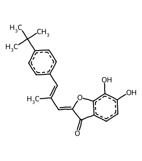 CC(=Cc1ccc(C(C)(C)C)cc1)C=C1Oc2c(ccc(O)c2O)C1=O